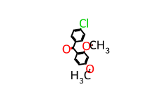 COc1ccc(C(=O)c2ccc(Cl)cc2)c(OC)c1